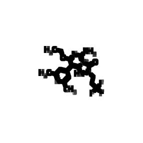 CCOc1nc(N)[n+]2c(=O)n(CCC(F)(F)F)[nH]c2c1-c1cc(C)nc(C)c1